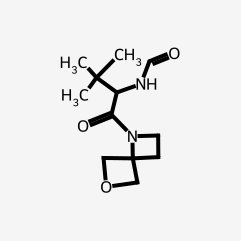 CC(C)(C)C(NC=O)C(=O)N1CCC12COC2